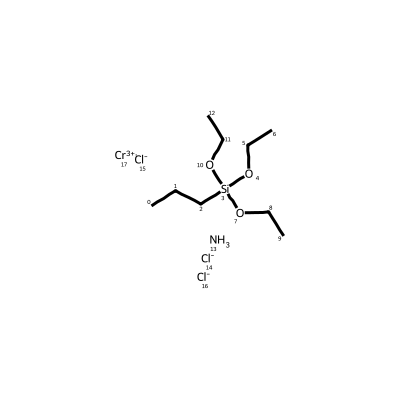 CCC[Si](OCC)(OCC)OCC.N.[Cl-].[Cl-].[Cl-].[Cr+3]